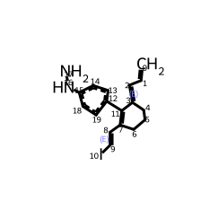 C=C/C=C1\CCCC(/C=C/I)=C1c1ccc(NN)cc1